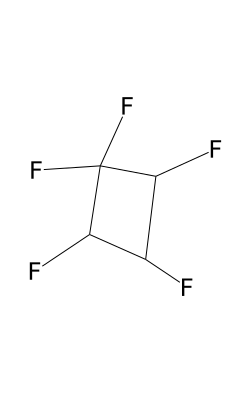 FC1C(F)C(F)(F)C1F